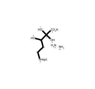 CCCCCCCCCC(O)C(O)(O)C(=O)O.N.N